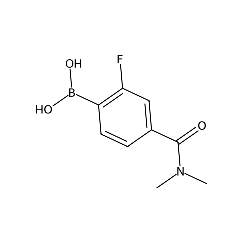 CN(C)C(=O)c1ccc(B(O)O)c(F)c1